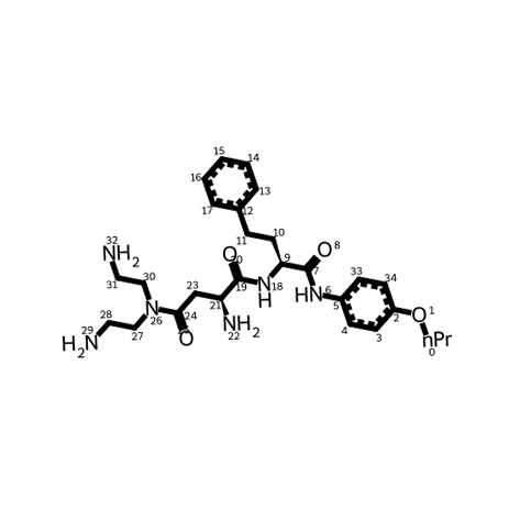 CCCOc1ccc(NC(=O)[C@H](CCc2ccccc2)NC(=O)[C@@H](N)CC(=O)N(CCN)CCN)cc1